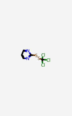 ClC(Cl)(Cl)SSc1ncccn1